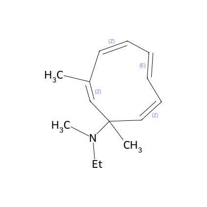 CCN(C)C1(C)\C=C/C=C/C=C\C(C)=C/1